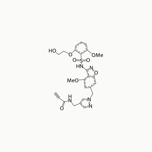 C#CC(=O)NCc1cnn(Cc2cc(OC)c3c(NS(=O)(=O)c4c(OC)cccc4OCCO)noc3c2)c1